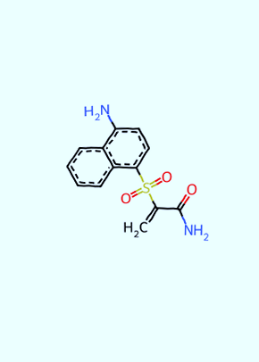 C=C(C(N)=O)S(=O)(=O)c1ccc(N)c2ccccc12